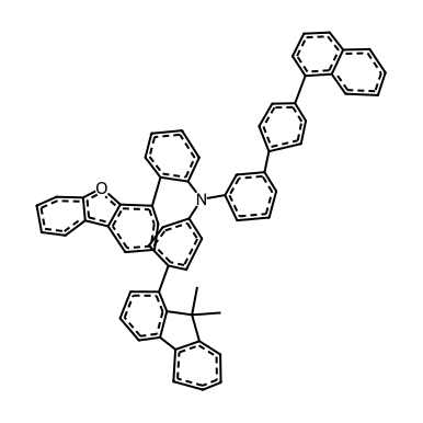 CC1(C)c2ccccc2-c2cccc(-c3ccc(N(c4cccc(-c5ccc(-c6cccc7ccccc67)cc5)c4)c4ccccc4-c4cccc5c4oc4ccccc45)cc3)c21